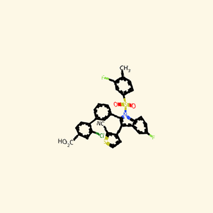 Cc1ccc(S(=O)(=O)n2c(-c3cccc(-c4ccc(C(=O)O)cc4Cl)c3)c(-c3ccsc3C#N)c3cc(F)ccc32)cc1F